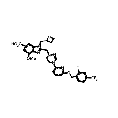 COc1cc(C(=O)O)cc2c1nc(CN1CCN(c3cccc(OCc4ccc(C(F)(F)F)cc4F)n3)C=N1)n2C[C@@H]1CCO1